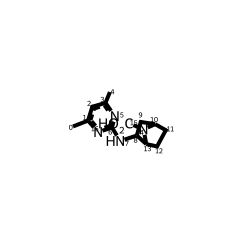 Cc1cc(C)nc(NC2CC3CCC2N3C(=O)O)n1